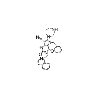 Cn1c(=O)n(Cc2nccc3ccccc23)c(=O)c2c1c(C#N)c(N1CCCNCC1)n2Cc1ccccc1